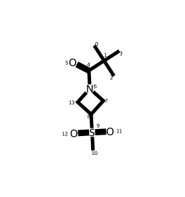 CC(C)(C)C(=O)N1CC(S(C)(=O)=O)C1